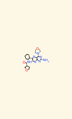 Nc1nc(N2CCOCC2)c2nc(-c3ccccc3NC(=O)c3ccoc3)cnc2n1